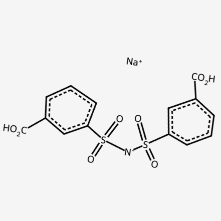 O=C(O)c1cccc(S(=O)(=O)[N-]S(=O)(=O)c2cccc(C(=O)O)c2)c1.[Na+]